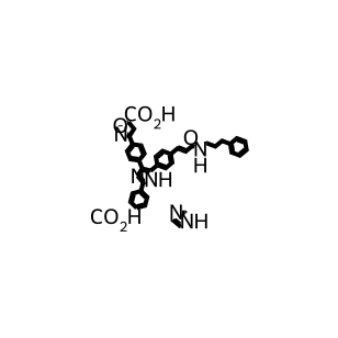 O=C(C=Cc1ccc(-c2[nH]c(-c3ccc(C(=O)O)cc3)nc2-c2ccc(C3=NOC(C(=O)O)C3)cc2)cc1)NCCCc1ccccc1.c1c[nH]cn1